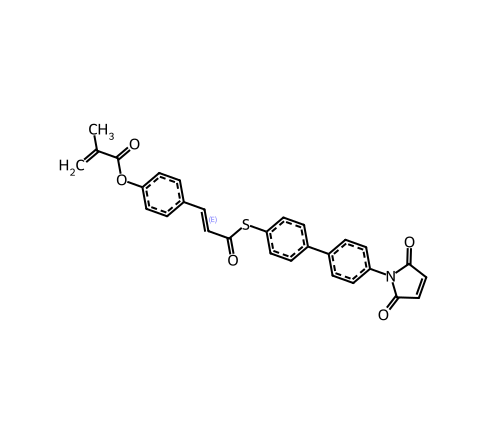 C=C(C)C(=O)Oc1ccc(/C=C/C(=O)Sc2ccc(-c3ccc(N4C(=O)C=CC4=O)cc3)cc2)cc1